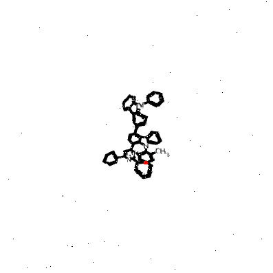 Cc1cccc(C)c1-n1c2ccccc2c2c(-c3ccc4c(c3)c3ccccc3n4-c3ccccc3)ccc(-c3cc(-c4ccccc4)nc(-c4ccccc4)n3)c21